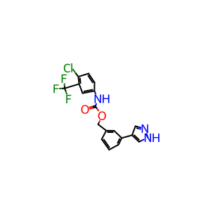 O=C(Nc1ccc(Cl)c(C(F)(F)F)c1)OCc1cccc(-c2cn[nH]c2)c1